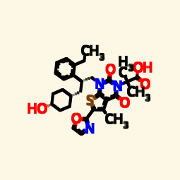 CCc1ccccc1[C@H](Cn1c(=O)n(C(C)(C)C(=O)O)c(=O)c2c(C)c(-c3ncco3)sc21)C[C@H]1CC[C@@H](O)CC1